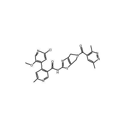 COc1cnc(Cl)cc1-c1cc(C)ncc1C(=O)Nc1nc2c(s1)CN(C(=O)c1cc(C)nnc1C)C2